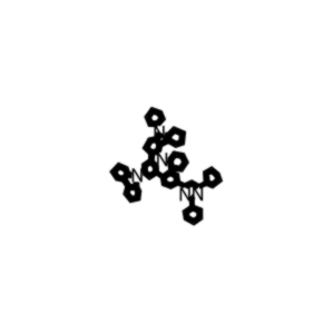 c1ccc(-c2cc(-c3ccc(-c4cc(-n5c6ccccc6c6ccccc65)cc5c6ccc7c(c8ccccc8n7-c7ccccc7)c6n(-c6ccccc6)c45)cc3)nc(-c3ccccc3)n2)cc1